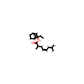 CCC1(OC(=O)C(C)C/C=C\CC(C)C)CC2CCC1C2